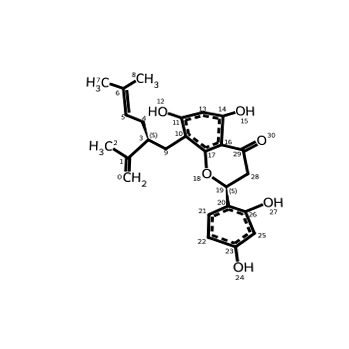 C=C(C)[C@@H](CC=C(C)C)Cc1c(O)cc(O)c2c1O[C@H](c1ccc(O)cc1O)CC2=O